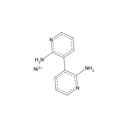 Nc1ncccc1-c1cccnc1N.[Ni+2]